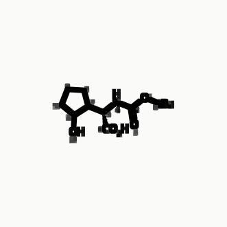 CC(C)(C)OC(=O)N[C@H](C(=O)O)C1CCCC1O